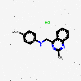 COc1ccc(NCc2nc(C)nc3ccccc23)cc1.Cl